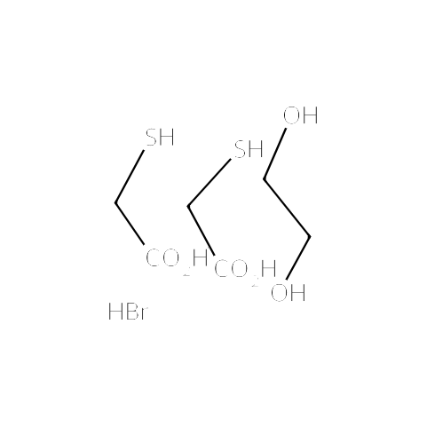 Br.O=C(O)CS.O=C(O)CS.OCCO